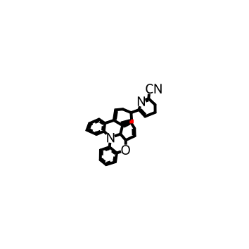 N#CC1=NC(C2C=CC(c3ccccc3N3c4ccccc4OC4C=CC=CC43)=CC2)=CCC1